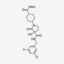 CNC(=O)C1CCC(N2CCC(O)(C(=O)NCc3cc(F)cc(Cl)c3)C2=O)CC1